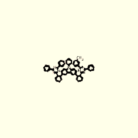 Cc1cccc(-c2nc(-c3ccccc3)nc(-c3ccccc3-c3ccc4c(c3)c3cc(-c5ccccc5-c5nc(-c6ccccc6)nc(-c6ccccc6)n5)ccc3n4-c3ccccc3)n2)c1